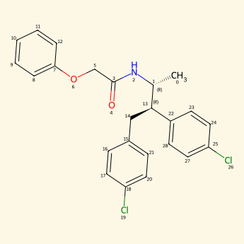 C[C@@H](NC(=O)COc1ccccc1)[C@H](Cc1ccc(Cl)cc1)c1ccc(Cl)cc1